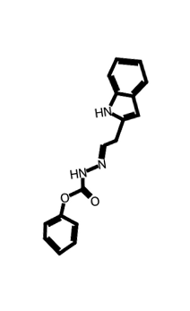 O=C(NN=CCc1cc2ccccc2[nH]1)Oc1ccccc1